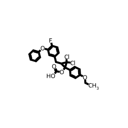 CCOc1ccc(C2(OC(=O)O)C(Cc3ccc(F)c(Oc4ccccc4)c3)C2(Cl)Cl)cc1